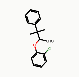 CC(C)(c1ccccc1)C(C=O)Oc1ccccc1Cl